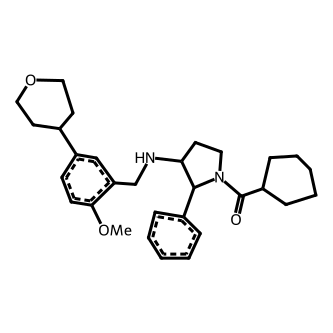 COc1ccc(C2CCOCC2)cc1CNC1CCN(C(=O)C2CCCCC2)C1c1ccccc1